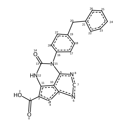 O=C(O)c1sc2ncnc3c2c1NC(=O)N3c1ccc(Cc2ccccc2)cc1